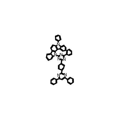 c1ccc(-c2cc(-c3ccccc3)nc(-c3ccc(-c4nc(-c5ccccc5)nc(-n5c6ccccc6c6ccc7c(c8ccccc8n7-c7ccccc7)c65)n4)cc3)n2)cc1